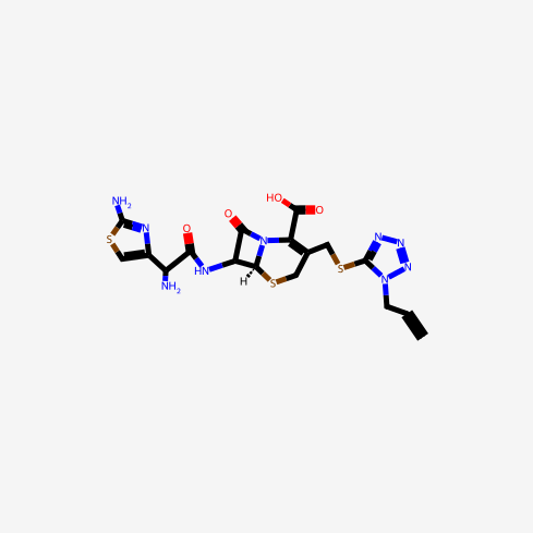 C#CCn1nnnc1SCC1=C(C(=O)O)N2C(=O)C(NC(=O)C(N)c3csc(N)n3)[C@@H]2SC1